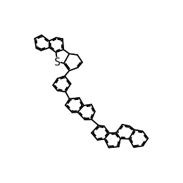 C1=CC(c2cccc(-c3ccc4cc(-c5ccc6ccc7c8ccccc8ccc7c6c5)ccc4c3)c2)=C2Sc3c(ccc4ccccc34)C2C1